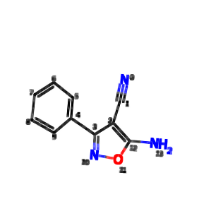 N#Cc1c(-c2ccccc2)noc1N